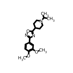 COc1ccc(-c2noc(C3CCN(C(C)C)CC3)n2)cc1OC